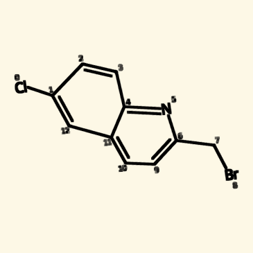 Clc1ccc2nc(CBr)ccc2c1